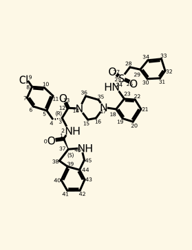 O=C(N[C@H](Cc1ccc(Cl)cc1)C(=O)N1CCN(c2ccccc2NS(=O)(=O)Cc2ccccc2)CC1)[C@@H]1Cc2ccccc2CN1